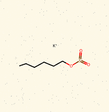 CCCCCCO[S-](=O)=O.[K+]